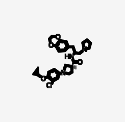 O=C(NC(Cc1ccc2c(c1)OCCO2)CN1CCCC1)[C@@H]1CCN(c2ccc(OC3CC3)c(Cl)c2)C1